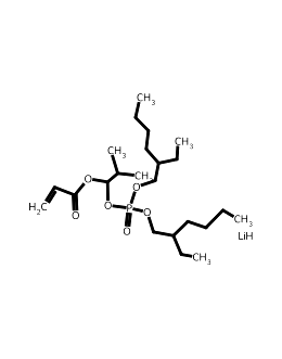 C=CC(=O)OC(OP(=O)(OCC(CC)CCCC)OCC(CC)CCCC)C(C)C.[LiH]